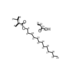 C=C(C)C(=C)C(=O)OCCCCCCCCCCCCC.C=CC(=O)O